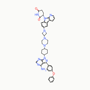 Nc1ncnc2c1c(-c1ccc(Oc3ccccc3)cc1)nn2C1CCC(N2CCN(C3CN(c4ccc5c(c4)c4cccnc4n5C4CCC(=O)NC4=O)C3)CC2)CC1